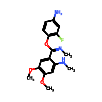 C/N=C(/Oc1ccc(N)cc1F)c1cc(OC)c(OC)cc1NC